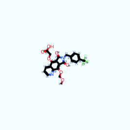 COCOc1c2c(c(OCC(=O)O)c3cccnc13)C(=O)N(Cc1ccc(C(F)(F)F)cc1)C2=O